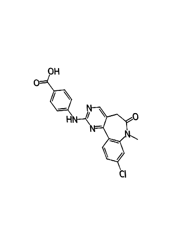 CN1C(=O)Cc2cnc(Nc3ccc(C(=O)O)cc3)nc2-c2ccc(Cl)cc21